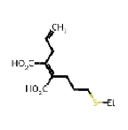 C=CC/C(C(=O)O)=C(\CCCSCC)C(=O)O